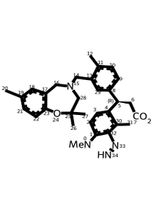 CNc1ccc([C@H](CC(=O)O)c2ccc(C)c(CN3Cc4cc(C)ccc4OC(C)(C)C3)c2)c(C)c1N=N